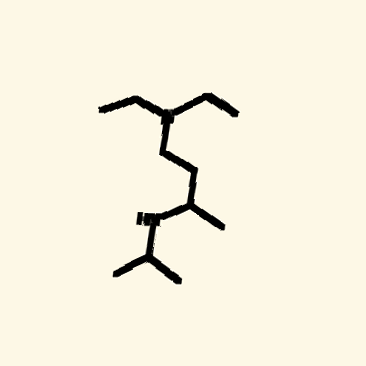 CCN(CC)CCC(C)NC(C)C